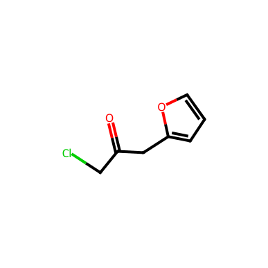 O=C(CCl)Cc1ccco1